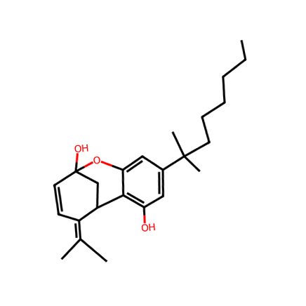 CCCCCCC(C)(C)c1cc(O)c2c(c1)OC1(O)C=CC(=C(C)C)C2C1